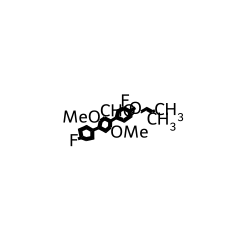 COc1cc(-c2ccc(F)cc2)c(OC)c(C=O)c1-c1ccc(OCC=C(C)C)c(F)c1